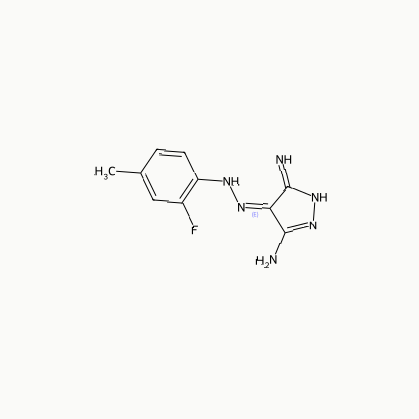 Cc1ccc(N/N=C2\C(=N)NN=C2N)c(F)c1